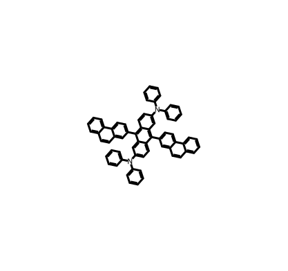 c1ccc(N(c2ccccc2)c2ccc3c(-c4ccc5c(ccc6ccccc65)c4)c4cc(N(c5ccccc5)c5ccccc5)ccc4c(-c4ccc5c(ccc6ccccc65)c4)c3c2)cc1